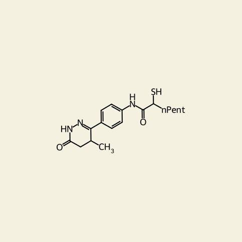 CCCCCC(S)C(=O)Nc1ccc(C2=NNC(=O)CC2C)cc1